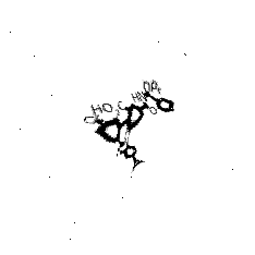 CCCC(NC(=O)c1ccc(-c2cc(Cl)ccc2-c2nc3cc(C4CC4)ccc3[nH]2)c(C(=O)O)c1)c1ccccc1